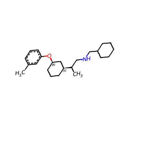 Cc1cccc(O[C@@H]2CCC[C@H](C(C)CNCC3CCCCC3)C2)c1